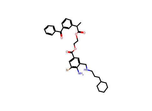 CC(C(=O)OCCOC(=O)c1cc(Br)c(N)c(CNCCCC2CCCCC2)c1)c1cccc(C(=O)c2ccccc2)c1